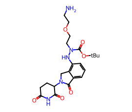 CC(C)(C)OC(=O)N(CCOCCN)Nc1cccc2c1CN(C1CCC(=O)NC1=O)C2=O